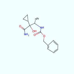 CCCC(NC(=O)OCc1ccccc1)C(O)(C(N)=O)C1CC1